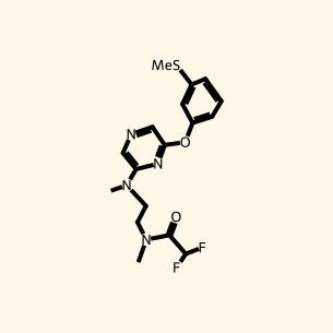 CSc1cccc(Oc2cncc(N(C)CCN(C)C(=O)C(F)F)n2)c1